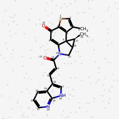 Cc1csc2c1C13C(=CC2=O)N(C(=O)/C=C/c2c[nH]c4ncccc24)CC1[C@@H]3C